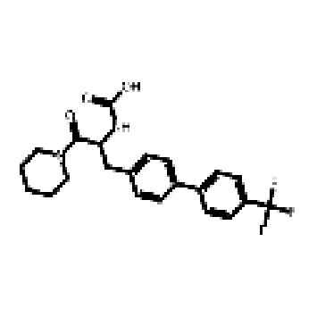 O=C(O)NC(Cc1ccc(-c2ccc(C(F)(F)F)cc2)cc1)C(=O)N1CCCCC1